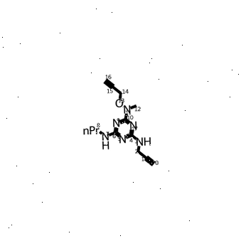 C#CCNc1nc(NCCC)nc(N(C)OCC#C)n1